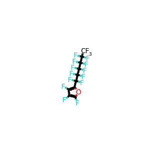 Fc1oc(C(F)(F)C(F)(F)C(F)(F)C(F)(F)C(F)(F)C(F)(F)F)c(F)c1F